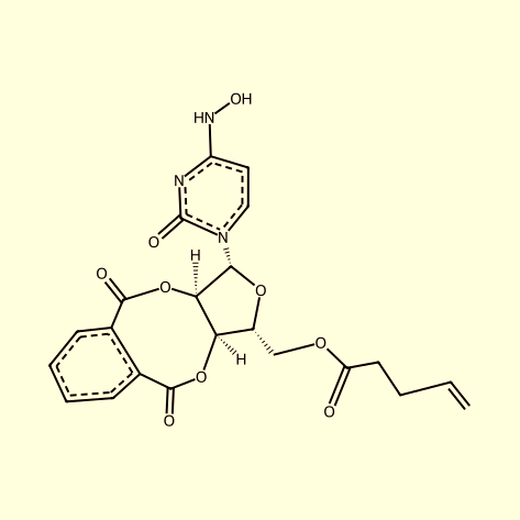 C=CCCC(=O)OC[C@H]1O[C@@H](n2ccc(NO)nc2=O)[C@@H]2OC(=O)c3ccccc3C(=O)O[C@@H]21